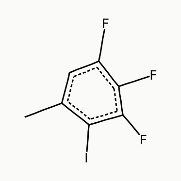 Cc1cc(F)c(F)c(F)c1I